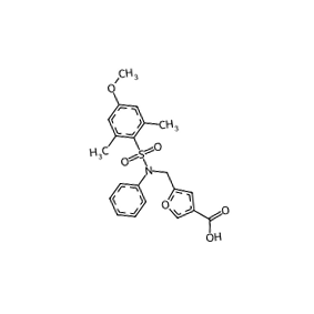 COc1cc(C)c(S(=O)(=O)N(Cc2cc(C(=O)O)co2)c2ccccc2)c(C)c1